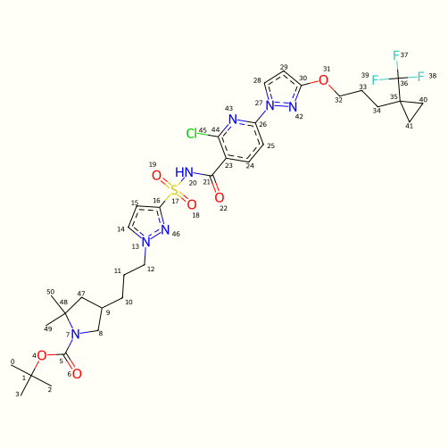 CC(C)(C)OC(=O)N1CC(CCCn2ccc(S(=O)(=O)NC(=O)c3ccc(-n4ccc(OCCCC5(C(F)(F)F)CC5)n4)nc3Cl)n2)CC1(C)C